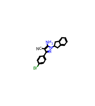 N#Cc1c(-c2ccc(Br)cc2)nn(C2Cc3ccccc3C2)c1N